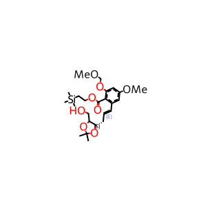 COCOc1cc(OC)cc(/C=C/C[C@@H]2OC(C)(C)OC2CO)c1C(=O)OCC[Si](C)(C)C